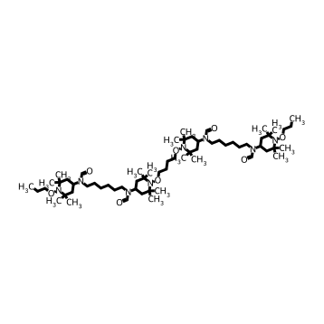 CCCON1C(C)(C)CC(N(C=O)CCCCCCN(C=O)C2CC(C)(C)N(OCCCCON3C(C)(C)CC(N(C=O)CCCCCCN(C=O)C4CC(C)(C)N(OCCC)C(C)(C)C4)CC3(C)C)C(C)(C)C2)CC1(C)C